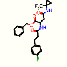 O=C(CCc1ccc(F)cc1)NC(CC(=O)NC1(C(F)(F)F)CC1)C(=O)OCc1ccccc1